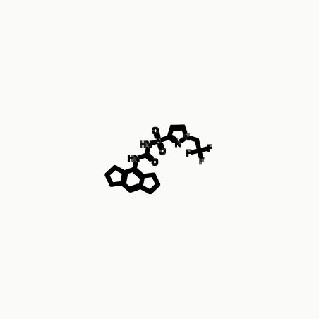 O=C(Nc1c2c(cc3c1CCC3)CCC2)NS(=O)(=O)c1ccn(CC(F)(F)F)n1